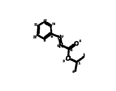 CC(C)OC(=O)N=Nc1ccccc1